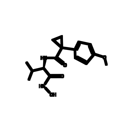 COc1ccc(C2(C(=O)N[C@@H](C(=O)NO)C(C)C)CC2)cc1